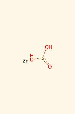 O=S(O)O.[Zn]